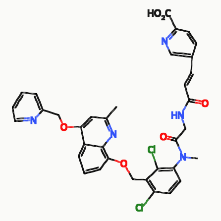 Cc1cc(OCc2ccccn2)c2cccc(OCc3c(Cl)ccc(N(C)C(=O)CNC(=O)C=Cc4ccc(C(=O)O)nc4)c3Cl)c2n1